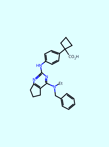 CCN(Cc1ccccc1)c1nc(Nc2ccc(C3(C(=O)O)CCC3)cc2)nc2c1CCC2